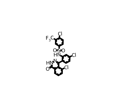 O=c1[nH]nc(-c2ccc(Cl)cc2NS(=O)(=O)c2ccc(Cl)c(C(F)(F)F)c2)c2c(Cl)cccc12